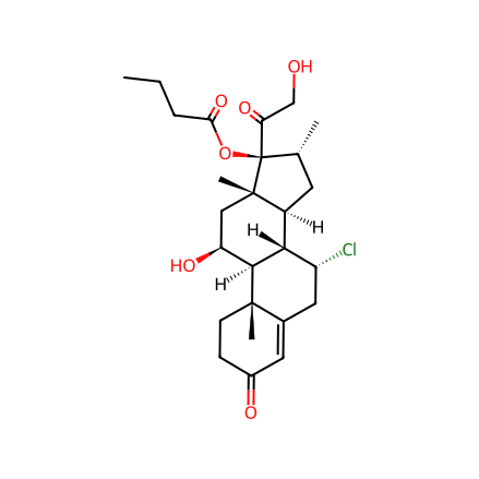 CCCC(=O)O[C@@]1(C(=O)CO)[C@H](C)C[C@H]2[C@H]3[C@H]([C@@H](O)C[C@@]21C)[C@@]1(C)CCC(=O)C=C1C[C@H]3Cl